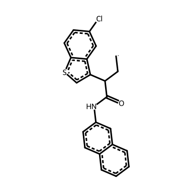 [CH2]CC(C(=O)Nc1ccc2ccccc2c1)c1csc2ccc(Cl)cc12